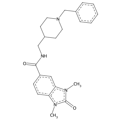 Cn1c(=O)n(C)c2cc(C(=O)NCC3CCN(Cc4ccccc4)CC3)ccc21